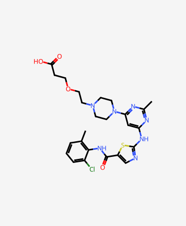 Cc1nc(Nc2ncc(C(=O)Nc3c(C)cccc3Cl)s2)cc(N2CCN(CCOCCC(=O)O)CC2)n1